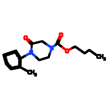 CCCCOC(=O)N1CCN(c2ccccc2C)C(=O)C1